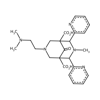 CN(C)CCN1CC2(C(=O)O)C(=O)C(C(=O)O)(C1)C(c1ccccn1)N(C)C2c1ccccn1